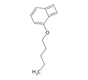 CCCCCOc1cccc2c1=CC=2